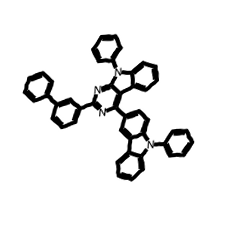 c1ccc(-c2cccc(-c3nc(-c4ccc5c(c4)c4ccccc4n5-c4ccccc4)c4c5ccccc5n(-c5ccccc5)c4n3)c2)cc1